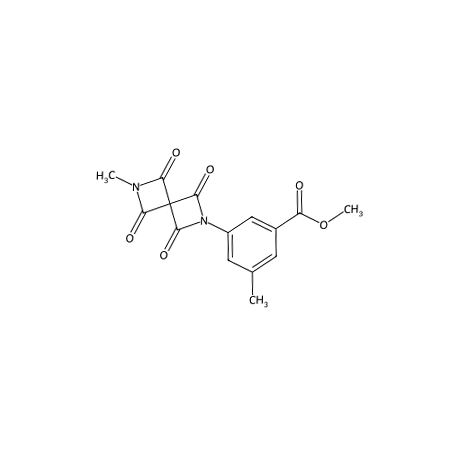 COC(=O)c1cc(C)cc(N2C(=O)C3(C(=O)N(C)C3=O)C2=O)c1